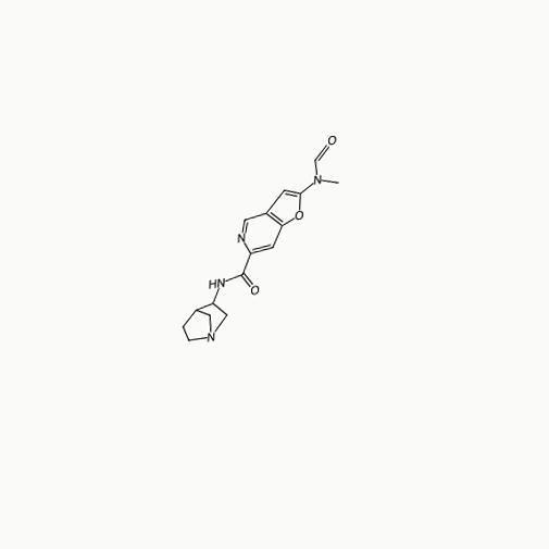 CN(C=O)c1cc2cnc(C(=O)NC3CN4CCC3C4)cc2o1